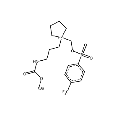 CC(C)(C)OC(=O)NCCC[PH]1(COS(=O)(=O)c2ccc(C(F)(F)F)cc2)CCCC1